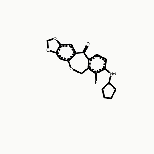 O=C1c2cc3c(cc2OCc2c1ccc(NC1CCCC1)c2F)OCO3